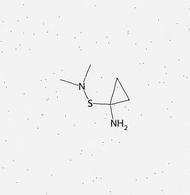 CN(C)SC1(N)CC1